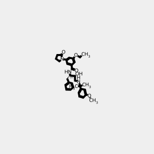 CCOc1cc(C(=O)N[C@@H](Cc2ccccc2)[C@@H](O)CNC(C)(C)c2cccc(OC)c2)cc(N2CCCC2=O)c1